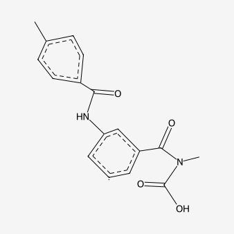 Cc1ccc(C(=O)Nc2c[c]cc(C(=O)N(C)C(=O)O)c2)cc1